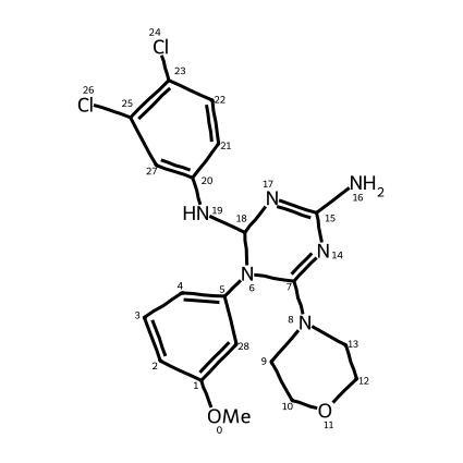 COc1cccc(N2C(N3CCOCC3)=NC(N)=NC2Nc2ccc(Cl)c(Cl)c2)c1